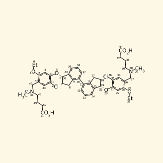 CCOc1cc(O[C@H]2CCc3c(-c4cccc5c4CC[C@@H]5Oc4cc(OCC)c(CN(C)CCCC(=O)O)cc4Cl)cccc32)c(Cl)cc1CN(C)CCCC(=O)O